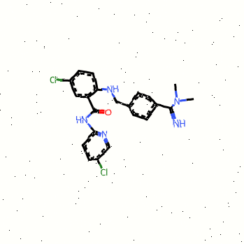 CN(C)C(=N)c1ccc(CNc2ccc(Cl)cc2C(=O)Nc2ccc(Cl)cn2)cc1